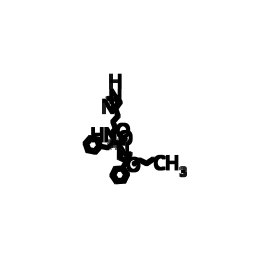 CCCCOC1(c2ccccc2)CN(C(=O)[C@@H](Cc2ccccc2)NC(=O)CCc2c[nH]cn2)C1